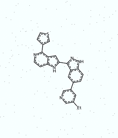 CCc1cncc(-c2ccc3[nH]nc(-c4cc5c(-c6ccsc6)nccc5[nH]4)c3c2)c1